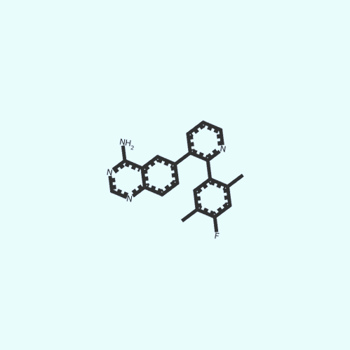 Cc1cc(-c2ncccc2-c2ccc3ncnc(N)c3c2)c(C)cc1F